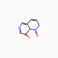 O=C1C=NC=C2C=CC[N+](=O)C12